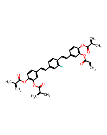 C=CC(=O)Oc1cc(/C=C/c2ccc(/C=C/c3ccc(OC(=O)C(=C)C)c(OC(=O)C(=C)C)c3)cc2F)ccc1OC(=O)C(=C)C